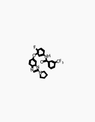 O=C(Nc1ccc(F)c(Oc2ccc3ncc(N4CCCC4)nc3c2)c1)c1cccc(C(F)(F)F)c1